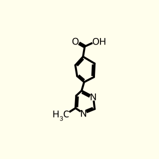 Cc1cc(-c2ccc(C(=O)O)cc2)ncn1